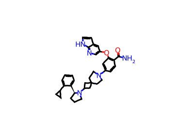 NC(=O)c1ccc(N2CCC3(CC2)CC(N2CCC[C@H]2c2ccccc2C2CC2)C3)cc1Oc1cnc2[nH]ccc2c1